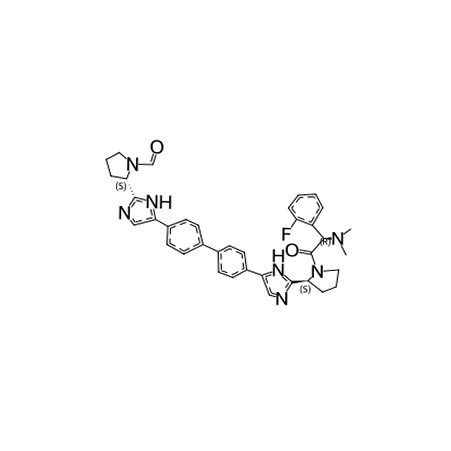 CN(C)[C@@H](C(=O)N1CCC[C@H]1c1ncc(-c2ccc(-c3ccc(-c4cnc([C@@H]5CCCN5C=O)[nH]4)cc3)cc2)[nH]1)c1ccccc1F